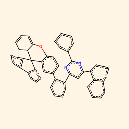 C1=CCC2C(=C1)Oc1ccc(-c3ccccc3-c3cc(-c4cccc5ccccc45)nc(-c4ccccc4)n3)cc1C21c2ccccc2-c2ccccc21